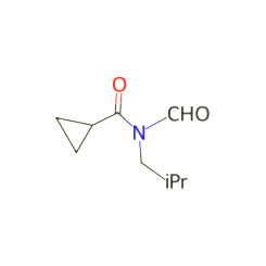 CC(C)CN(C=O)C(=O)C1CC1